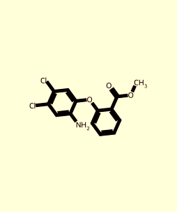 COC(=O)c1ccccc1Oc1cc(Cl)c(Cl)cc1N